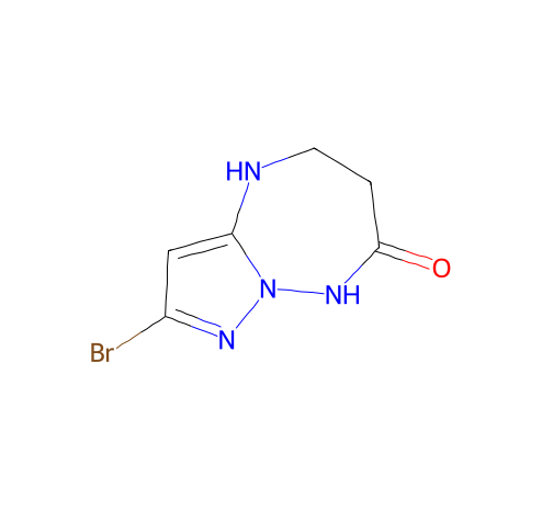 O=C1CCNc2cc(Br)nn2N1